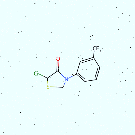 O=C1C(Cl)SCN1c1cccc(C(F)(F)F)c1